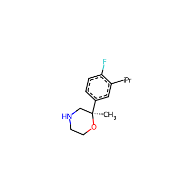 CC(C)c1cc([C@]2(C)CNCCO2)ccc1F